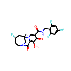 O=C(NCc1c(F)cc(F)cc1F)c1cn2c(c(O)c1=O)C(=O)N1CC[C@@H](F)C[C@@H]2C1